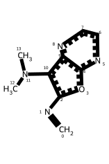 C=Nc1oc2nccnc2c1N(C)C